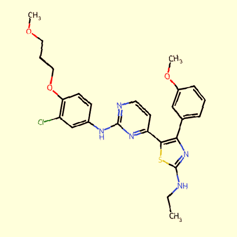 CCNc1nc(-c2cccc(OC)c2)c(-c2ccnc(Nc3ccc(OCCCOC)c(Cl)c3)n2)s1